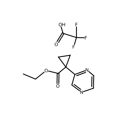 CCOC(=O)C1(c2cnccn2)CC1.O=C(O)C(F)(F)F